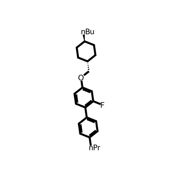 CCCC[C@H]1CC[C@H](COc2ccc(-c3ccc(CCC)cc3)c(F)c2)CC1